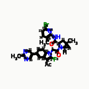 CC(=O)c1c(F)n(CC(=O)N2[C@H](C(=O)Nc3nc(Br)ccc3C)C[C@@]3(C)C[C@@H]23)c2ccc(-c3cnc(C)nc3)cc12